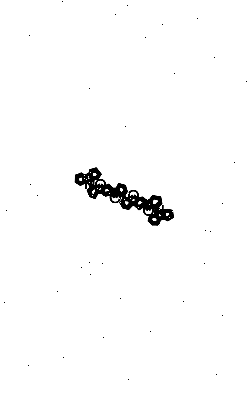 C1=CC(C2=CCCc3c2oc2c3=CC3OC4=C(CCC=C4N4C5=C(C=CCC5)C5C=CCCC54)C3C=2)C2OC3C=c4c5c(oc4=CC3C2=C1)C(N1C2=C(C=CCC2)C2CCCCC21)=CCC5